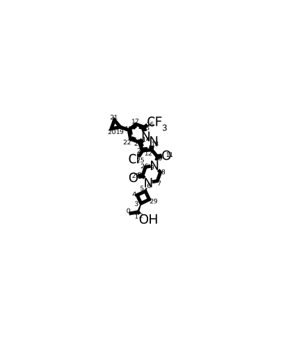 CC(O)[C@H]1C[C@H](N2CCN(C(=O)c3nn4c(C(F)(F)F)cc(C5CC5)cc4c3Cl)CC2=O)C1